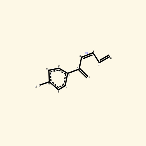 C=C/C=C\C(=C)c1ccc(I)cc1